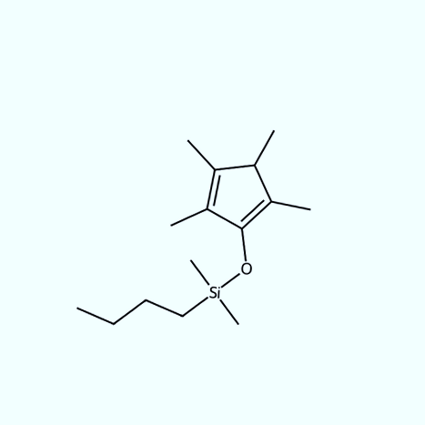 CCCC[Si](C)(C)OC1=C(C)C(C)C(C)=C1C